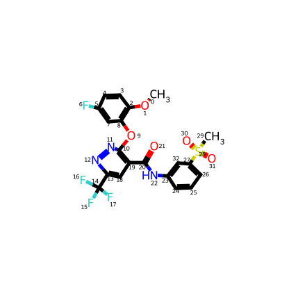 COc1ccc(F)cc1Oc1nnc(C(F)(F)F)cc1C(=O)Nc1cccc(S(C)(=O)=O)c1